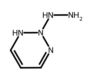 NNN1N=CC=CN1